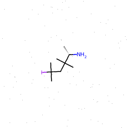 C[C@H](N)C(C)(C)CC(C)(C)I